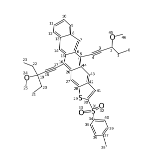 CCC(C#Cc1c2cc3ccccc3cc2c(C#CC(CC)(CC)OC)c2cc3sc(S(=O)(=O)c4ccc(C)cc4)cc3cc12)OC